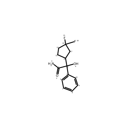 NC(=O)C(O)(c1ccccc1)C1CCC(F)(F)C1